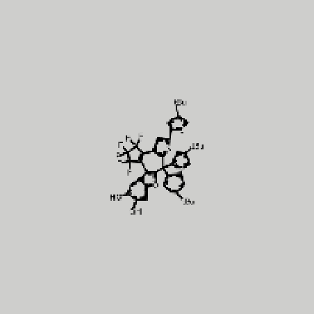 CC(C)(C)c1ccc(C2(c3cc(C(C)(C)C)cs3)c3oc4cc(O)c(O)cc4c3C3=C(c4cc(-c5cc(C(C)(C)C)cs5)sc42)C(F)(F)C(F)(F)C3(F)F)cc1